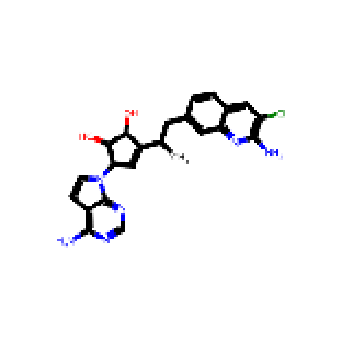 CC(Cc1ccc2cc(Cl)c(N)nc2c1)C1=CC(n2ccc3c(N)ncnc32)C(O)C1O